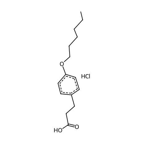 CCCCCCOc1ccc(CCC(=O)O)cc1.Cl